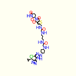 Cn1ncc(-c2nc(NC3CCC(NCC(=O)NCCCCNCC(=O)NCc4cc5c(s4)C(=O)N(C4CCC(=O)NC4=O)C5=O)CC3)ncc2Cl)c1CC1CC1